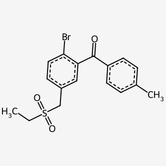 CCS(=O)(=O)Cc1ccc(Br)c(C(=O)c2ccc(C)cc2)c1